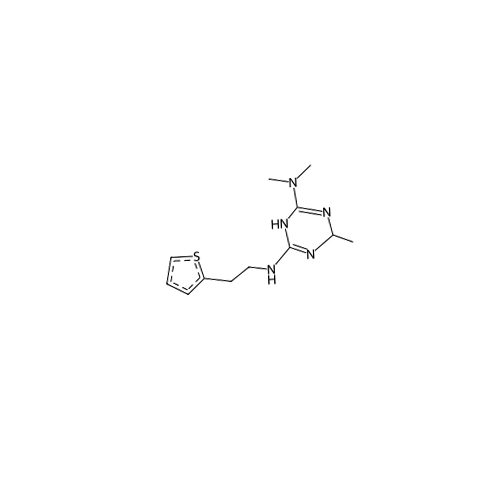 CC1N=C(NCCc2cccs2)NC(N(C)C)=N1